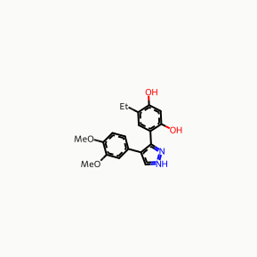 CCc1cc(-c2n[nH]cc2-c2ccc(OC)c(OC)c2)c(O)cc1O